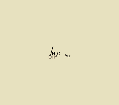 CO.O.[Au]